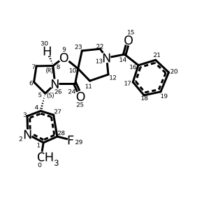 Cc1ncc([C@@H]2CC[C@H]3OC4(CCN(C(=O)c5ccccc5)CC4)C(=O)N32)cc1F